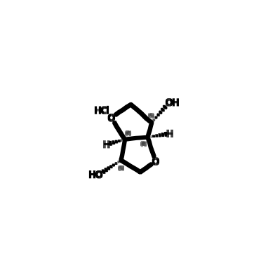 Cl.O[C@H]1CO[C@H]2[C@@H]1OC[C@@H]2O